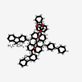 CC1(C)c2ccccc2-c2ccc(N3c4ccc(-c5cccc6c5oc5ccccc56)cc4C4(c5c#cccc5N(c5ccc(-c6ccccc6)cc5)c5ccc(-c6ccccc6)cc54)c4cc(-c5cccc6c5oc5ccccc56)ccc43)cc21